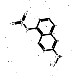 CNc1ccc2c(O[SH](=O)=O)cccc2c1